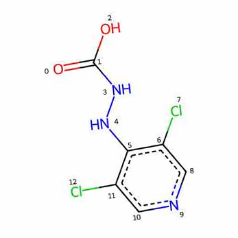 O=C(O)NNc1c(Cl)cncc1Cl